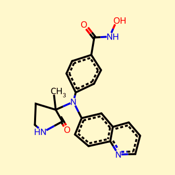 CC1(N(c2ccc(C(=O)NO)cc2)c2ccc3ncccc3c2)CCNC1=O